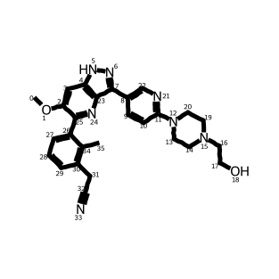 COc1cc2[nH]nc(-c3ccc(N4CCN(CCO)CC4)nc3)c2nc1-c1cccc(CC#N)c1C